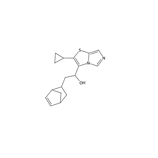 OC(CC1CC2C=CC1C2)c1c(C2CC2)sc2cncn12